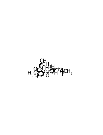 CO[C@@H]1[C@H](OC(=O)N2C[C@@H]3[C@@H](CN4CC(C)(F)C4)[C@@H]3C2)CC[C@]2(CO2)[C@H]1[C@@]1(C)O[C@@H]1CC=C(C)C